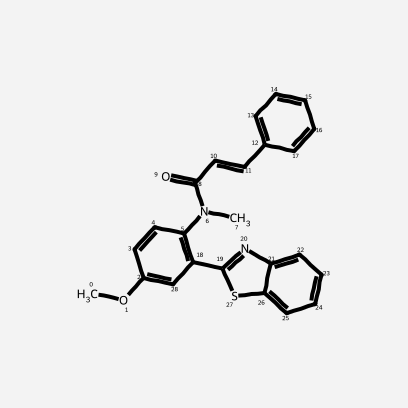 COc1ccc(N(C)C(=O)/C=C/c2ccccc2)c(-c2nc3ccccc3s2)c1